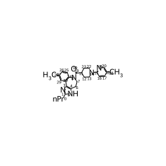 CCCc1nc2c([nH]1)CCN(C(=O)C1CCN(c3ccc(C)cn3)CC1)c1ccc(C)cc1-2